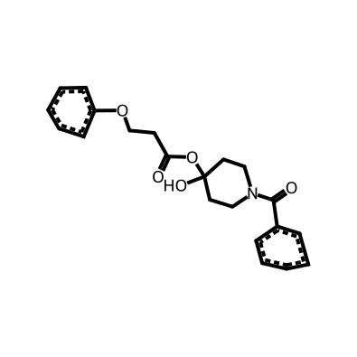 O=C(CCOc1ccccc1)OC1(O)CCN(C(=O)c2ccccc2)CC1